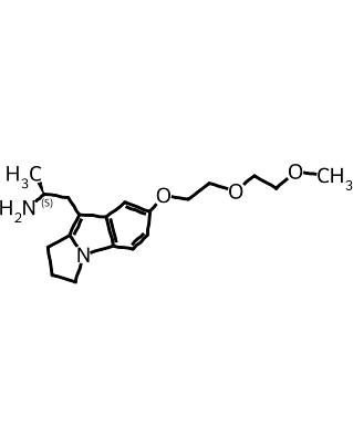 COCCOCCOc1ccc2c(c1)c(C[C@H](C)N)c1n2CCC1